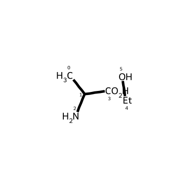 CC(N)C(=O)O.CCO